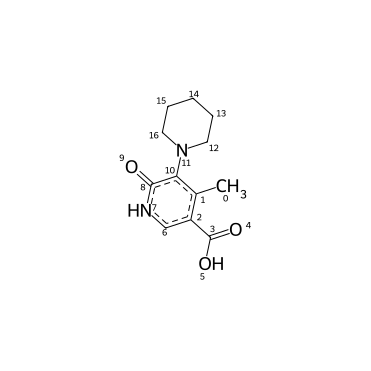 Cc1c(C(=O)O)c[nH]c(=O)c1N1CCCCC1